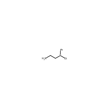 CCN(CCN)C(C)C